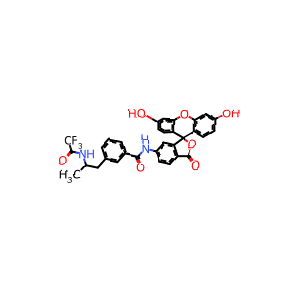 CC(Cc1cccc(C(=O)Nc2ccc3c(c2)C2(OC3=O)c3ccc(O)cc3Oc3cc(O)ccc32)c1)NC(=O)C(F)(F)F